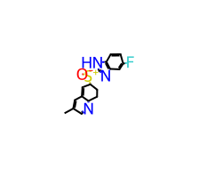 CC1=CC2=CC([S+]([O-])c3nc4cc(F)ccc4[nH]3)CCC2N=C1